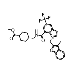 COC(=O)[C@H]1CC[C@H](CNC(=O)c2cc(C(F)(F)F)cc3ccn(Cc4oc5ccccc5c4C)c23)CC1